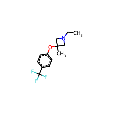 CCN1CC(C)(Oc2ccc(C(F)(F)F)cc2)C1